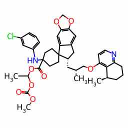 COC(=O)OC(C)OC(=O)C1(Nc2cccc(Cl)c2)CCC2(CC1)c1cc3c(cc1C[C@@H]2C[C@@H](C)COc1ccnc2c1[C@H](C)CCC2)OCO3